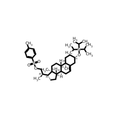 Cc1ccc(S(=O)(=O)OC[C@H](C)[C@H]2CC[C@H]3[C@@H]4CC=C5C[C@@H](O[Si](C(C)C)(C(C)C)C(C)C)CC[C@]5(C)[C@H]4CC[C@]23C)cc1